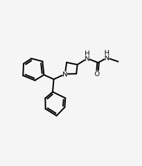 CNC(=O)NC1CN(C(c2ccccc2)c2ccccc2)C1